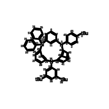 CC(C)(C)c1ccc(N2c3cccc(c3)[Si](c3ccccc3)(c3ccccc3)c3cccc(c3)N(c3cc(C(C)(C)C)cc(C(C)(C)C)c3)c3cccc2c3Cl)cc1